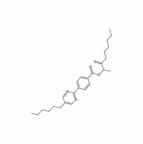 CCCCCCC(=O)C(C)OC(=O)c1ccc(-c2ncc(CCCCCC)cn2)cc1